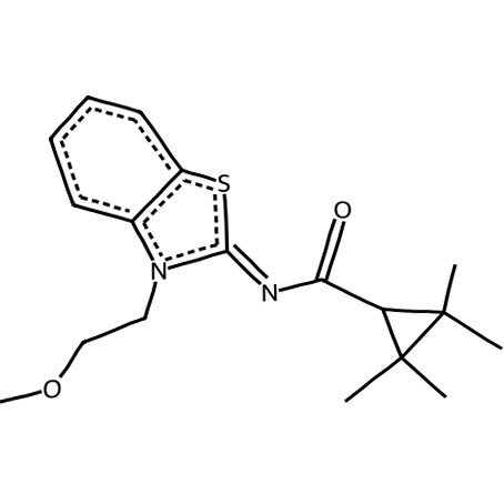 COCCn1/c(=N/C(=O)C2C(C)(C)C2(C)C)sc2ccccc21